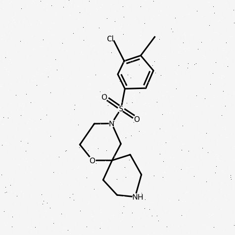 Cc1ccc(S(=O)(=O)N2CCOC3(CCNCC3)C2)cc1Cl